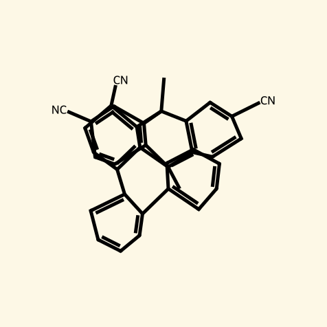 CC12c3cc(C#N)ccc3C(C)(c3ccc(C#N)cc31)c1c(-c3ccccc3-c3ccccc3)ccc(C#N)c12